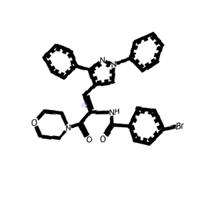 O=C(N/C(=C\c1cn(-c2ccccc2)nc1-c1ccccc1)C(=O)N1CCOCC1)c1ccc(Br)cc1